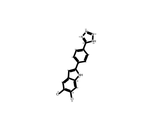 Clc1cc2cc(-c3ccc(-c4nnn[nH]4)cc3)[nH]c2cc1Cl